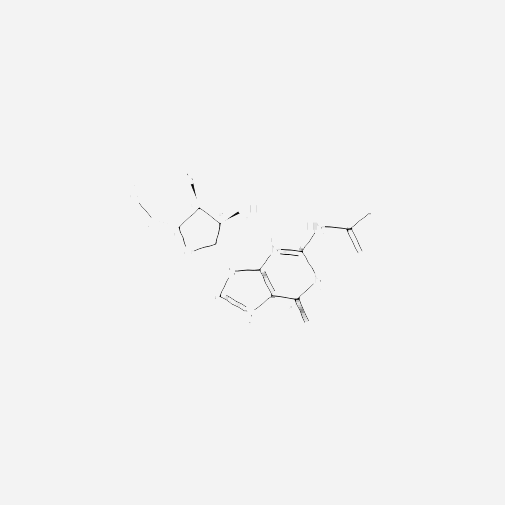 CC(C)C(=O)Nc1nc2c(ncn2[C@@H]2O[C@H](CO)[C@@H](N)[C@H]2C=O)c(=O)[nH]1